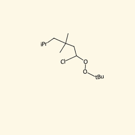 CC(C)CC(C)(C)CC(Cl)OOC(C)(C)C